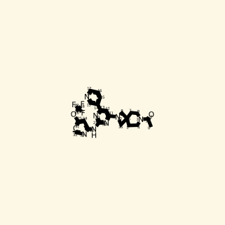 CC(=O)N1CCC2(CC1)CN(c1cc(-c3cccnc3)nc(Nc3cc(OC(F)(F)F)ccn3)n1)C2